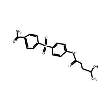 CC(O)CCC(=O)Nc1ccc(S(=O)(=O)c2ccc(C(N)=O)cc2)cc1